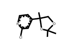 CC1(C)OCC(C)(c2ccnc(Cl)c2)O1